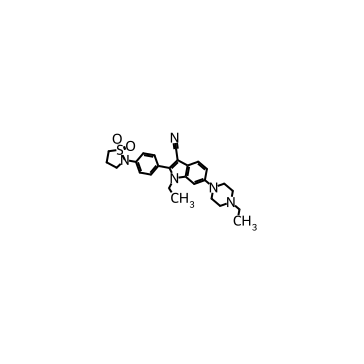 CCN1CCN(c2ccc3c(C#N)c(-c4ccc(N5CCCS5(=O)=O)cc4)n(CC)c3c2)CC1